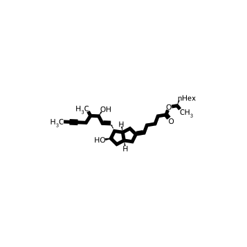 CC#CCC(C)[C@H](O)/C=C/[C@@H]1[C@H]2C/C(=C\CCCC(=O)O[C@@H](C)CCCCCC)C[C@H]2C[C@H]1O